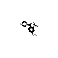 Cc1ccc(C(=O)N2CCNCC2)c([N+](=O)[O-])c1